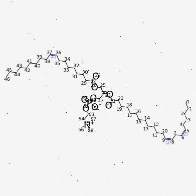 CCCCC/C=C\C/C=C\CCCCCCCCCCCC(=O)O[C@H](COC(=O)CCCCCCC/C=C\CCCCCCCCC)COP(=O)([O-])OCC[N+](C)(C)C